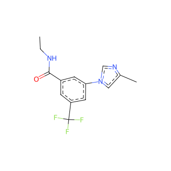 CCNC(=O)c1cc(-n2cnc(C)c2)cc(C(F)(F)F)c1